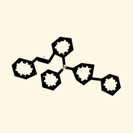 C(=C\c1ccccc1N(c1ccccc1)c1ccc(-c2ccccc2)cc1)/c1ccccc1